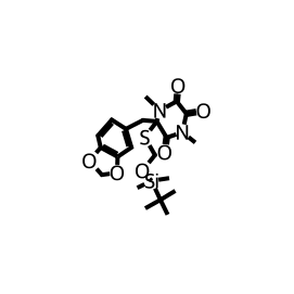 CN1C(=O)C(=O)N(C)C(Cc2ccc3c(c2)OCO3)(SCO[Si](C)(C)C(C)(C)C)C1=O